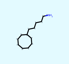 NCCCCCC1CC[CH]CCCC1